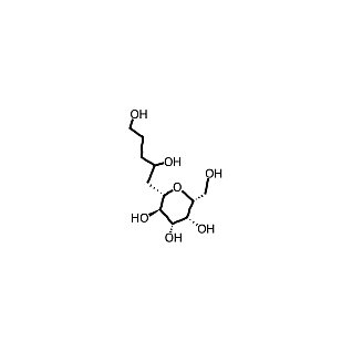 OCCCC(O)C[C@@H]1O[C@H](CO)[C@H](O)[C@H](O)[C@H]1O